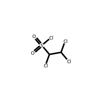 O=S(=O)(Cl)C(Cl)C(Cl)Cl